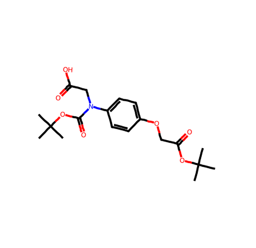 CC(C)(C)OC(=O)COc1ccc(N(CC(=O)O)C(=O)OC(C)(C)C)cc1